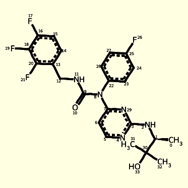 C[C@H](Nc1nccc(N(C(=O)NCc2ccc(F)c(F)c2F)c2ccc(F)cc2)n1)C(C)(C)O